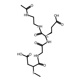 CSC(CC(=O)O)C(=O)NCC(=O)N[C@H](CCC(=O)O)C(=O)NCCNC(C)=O